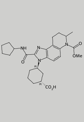 COC(=O)N1c2ccc3c(nc(C(=O)NC4CCCC4)n3[C@@H]3CCC[C@@H](C(=O)O)C3)c2CCC1C